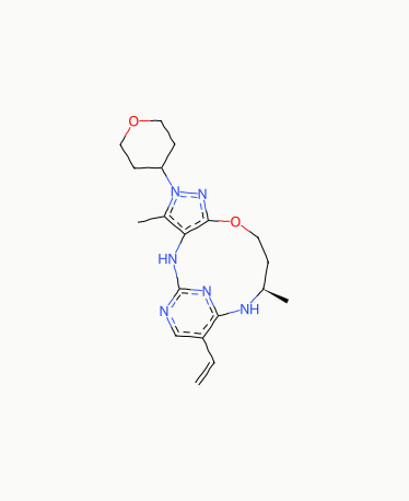 C=Cc1cnc2nc1N[C@H](C)CCOc1nn(C3CCOCC3)c(C)c1N2